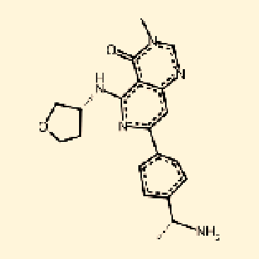 C[C@@H](N)c1ccc(-c2cc3ncn(C)c(=O)c3c(N[C@@H]3CCOC3)n2)cc1